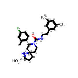 Cc1cc(F)ccc1[C@H]1C[C@]2(CC[C@H](C(=O)O)N2)CCN1C(=O)NCCc1cc(C(F)(F)F)cc(C(F)(F)F)c1